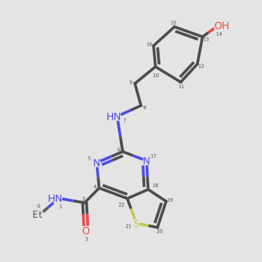 CCNC(=O)c1nc(NCCc2ccc(O)cc2)nc2ccsc12